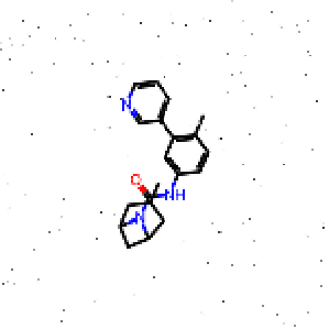 Cc1ccc(NC(=O)N2C3CC(C)CC2C3)cc1-c1cccnc1